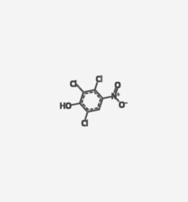 O=[N+]([O-])c1cc(Cl)c(O)c(Cl)c1Cl